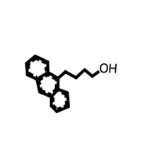 OCCCCc1c2ccccc2cc2ccccc12